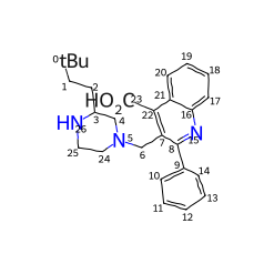 CC(C)(C)CCC1CN(Cc2c(-c3ccccc3)nc3ccccc3c2C(=O)O)CCN1